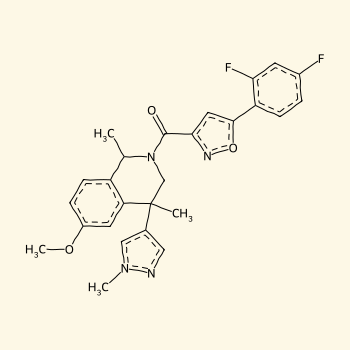 COc1ccc2c(c1)C(C)(c1cnn(C)c1)CN(C(=O)c1cc(-c3ccc(F)cc3F)on1)C2C